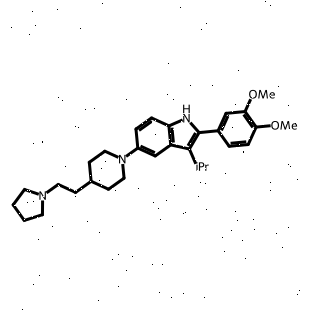 COc1ccc(-c2[nH]c3ccc(N4CCC(CCN5CCCC5)CC4)cc3c2C(C)C)cc1OC